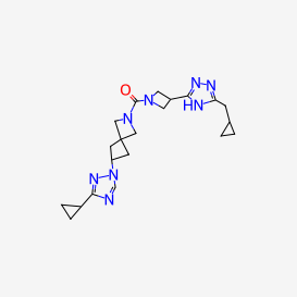 O=C(N1CC(c2nnc(CC3CC3)[nH]2)C1)N1CC2(CC(n3cnc(C4CC4)n3)C2)C1